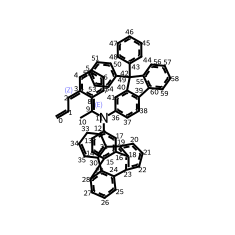 C=C/C=c1/cccc/c1=C(/C)N(c1ccc2c(c1)-c1c3cccc1-c1cccc-2c1C1=C3CCC=C1)c1ccc2c(c1)C(c1ccccc1)(c1ccccc1)c1ccccc1-2